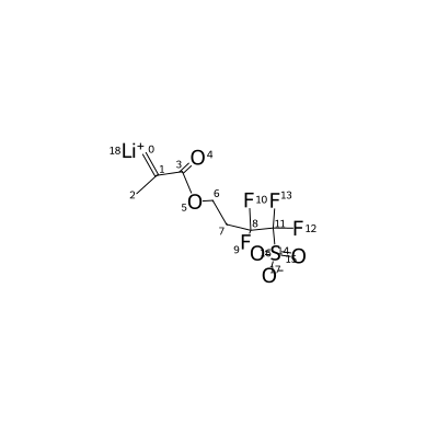 C=C(C)C(=O)OCCC(F)(F)C(F)(F)S(=O)(=O)[O-].[Li+]